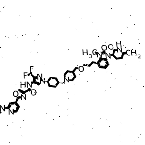 C=C1CCC(n2c(=O)n(C)c3c(CCCOCC4CCN(C[C@H]5CC[C@H](n6cc(NC(=O)c7coc(-c8ccnc(NCC9CC9)c8)n7)c(C(F)F)n6)CC5)CC4)cccc32)C(=O)N1